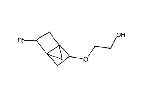 CCC1CC23CC12CC3OCCO